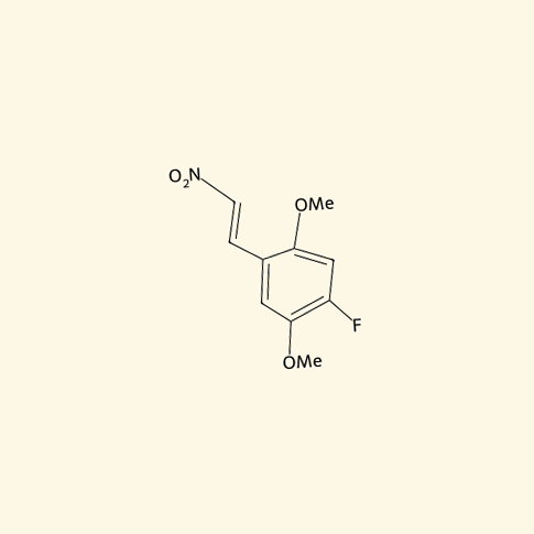 COc1cc(C=C[N+](=O)[O-])c(OC)cc1F